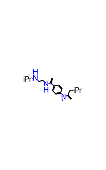 C=C(NCCNC(C)C)c1ccc(N(C)C(=C)CC(C)C)cc1